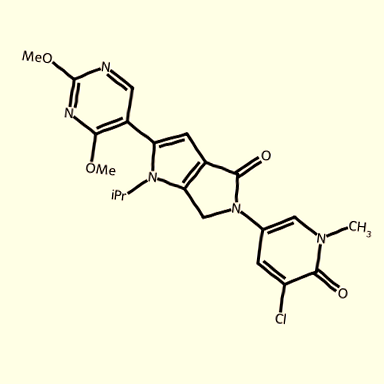 COc1ncc(-c2cc3c(n2C(C)C)CN(c2cc(Cl)c(=O)n(C)c2)C3=O)c(OC)n1